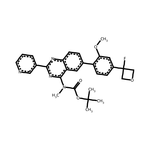 COc1cc(C2(F)COC2)ccc1-c1ccc2nc(-c3cccnc3)nc(N(C)C(=O)OC(C)(C)C)c2c1